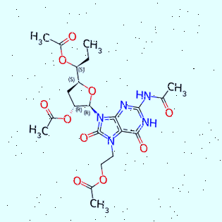 CC[C@H](OC(C)=O)[C@@H]1C[C@@H](OC(C)=O)[C@H](n2c(=O)n(CCOC(C)=O)c3c(=O)[nH]c(NC(C)=O)nc32)O1